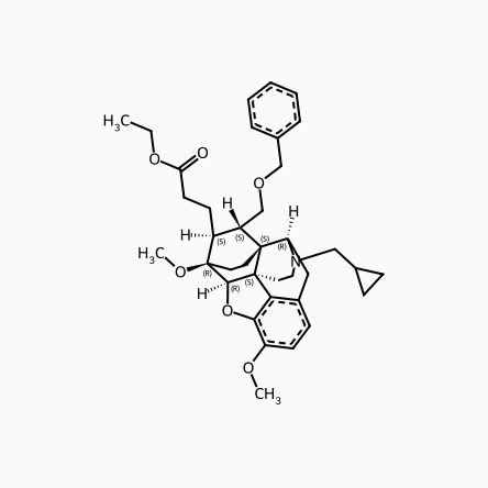 CCOC(=O)CC[C@H]1[C@H](COCc2ccccc2)[C@@]23CC[C@]1(OC)[C@@H]1Oc4c(OC)ccc5c4[C@@]12CCN(CC1CC1)[C@@H]3C5